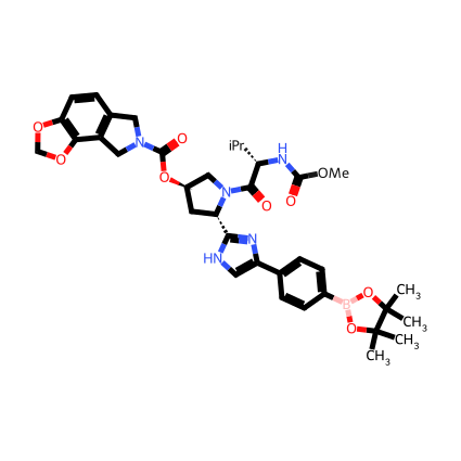 COC(=O)N[C@H](C(=O)N1C[C@H](OC(=O)N2Cc3ccc4c(c3C2)OCO4)C[C@H]1c1nc(-c2ccc(B3OC(C)(C)C(C)(C)O3)cc2)c[nH]1)C(C)C